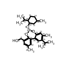 Cc1cc(CO)c2op(OC3CC(C)CCC3C(C)C)oc3cc(C)c(C(C)C)cc3c2c1